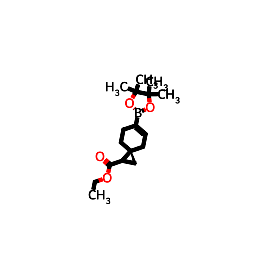 CCOC(=O)C1C[C@@]12CC=C(B1OC(C)(C)C(C)(C)O1)CC2